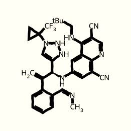 C=C(c1ccccc1/C=N\C)[C@H](Nc1cc(C#N)c2ncc(C#N)c(NCC(C)(C)C)c2c1)C1=CN(C2(C(F)(F)F)CC2)NN1